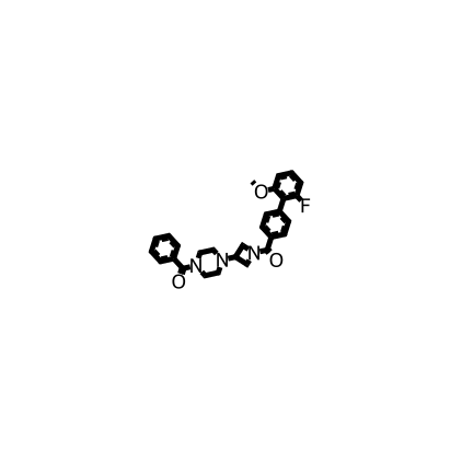 COc1cccc(F)c1-c1ccc(C(=O)N2CC(N3CCN(C(=O)c4ccccc4)CC3)C2)cc1